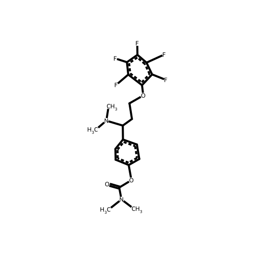 CN(C)C(=O)Oc1ccc(C(CCOc2c(F)c(F)c(F)c(F)c2F)N(C)C)cc1